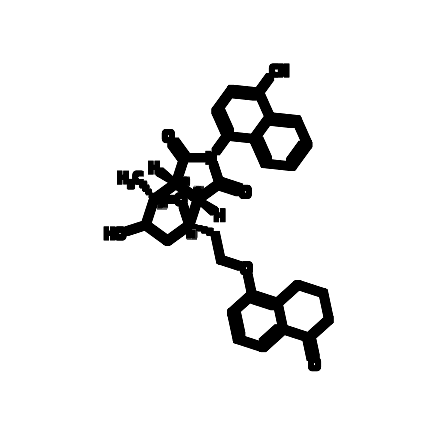 C[C@]12O[C@](CCOc3cccc4c3CCCC4=O)(CC1O)[C@H]1C(=O)N(c3ccc(C#N)c4ccccc34)C(=O)[C@H]12